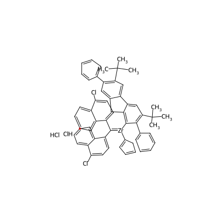 CC(C)(C)c1cc2c(cc1-c1ccccc1)Cc1c-2cc(C(C)(C)C)c(-c2ccccc2)[c]1[Zr]([C]1=CC=CC1)=[C](c1ccc(Cl)c2ccccc12)c1ccc(Cl)c2ccccc12.Cl.Cl